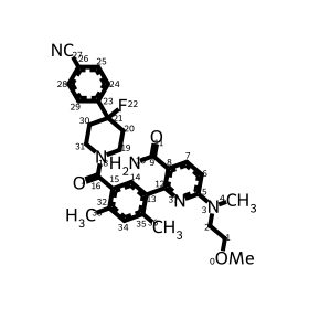 COCCN(C)c1ccc(C(N)=O)c(-c2cc(C(=O)N3CCC(F)(c4ccc(C#N)cc4)CC3)c(C)cc2C)n1